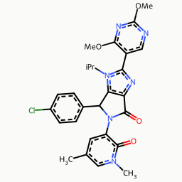 COc1ncc(-c2nc3c(n2C(C)C)C(c2ccc(Cl)cc2)N(c2cc(C)cn(C)c2=O)C3=O)c(OC)n1